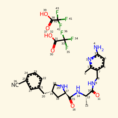 Cc1nc(N)ccc1CNC(=O)[C@H](C)NC(=O)[C@H]1C[C@H](Cc2cccc(C#N)c2)CN1.O=C(O)C(F)(F)F.O=C(O)C(F)(F)F